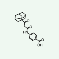 O=C(CC(=O)C12CC3CC(CC(C3)C1)C2)Nc1ccc(C(=O)O)cc1